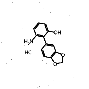 Cl.Nc1cccc(O)c1-c1ccc2c(c1)OCO2